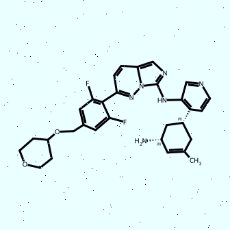 CC1=C[C@H](N)C[C@H](c2ccncc2Nc2ncc3ccc(-c4c(F)cc(COC5CCOCC5)cc4F)nn23)C1